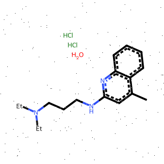 CCN(CC)CCCNc1cc(C)c2ccccc2n1.Cl.Cl.O